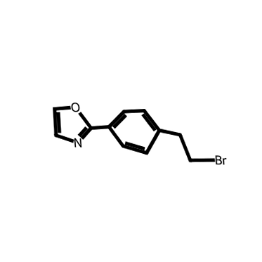 BrCCc1ccc(-c2ncco2)cc1